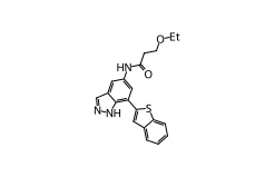 CCOCCC(=O)Nc1cc(-c2cc3ccccc3s2)c2[nH]ncc2c1